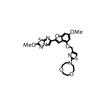 COc1cc(OCc2csc(N3CCOCCOCC3)n2)c2cc(-c3cn4nc(OC)sc4n3)oc2c1